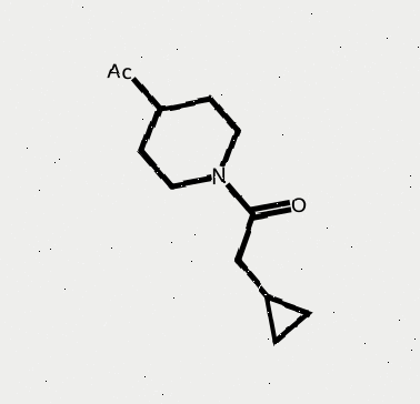 CC(=O)C1CCN(C(=O)CC2CC2)CC1